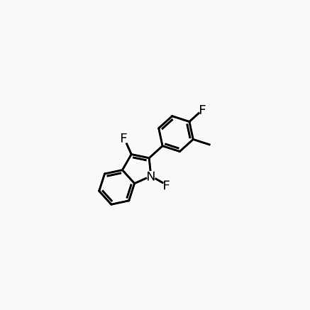 Cc1cc(-c2c(F)c3ccccc3n2F)ccc1F